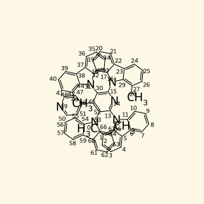 Cc1cccc2c3ccccc3n(-c3nc(-n4c5ccccc5c5cccc(C)c54)c(-n4c5ccccc5c5cccc(C)c54)c(-c4ccncc4)c3-n3c4ccccc4c4cccc(C)c43)c12